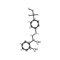 CCC(C)(C)c1ccc(OCC(O)c2ccccc2O)cc1